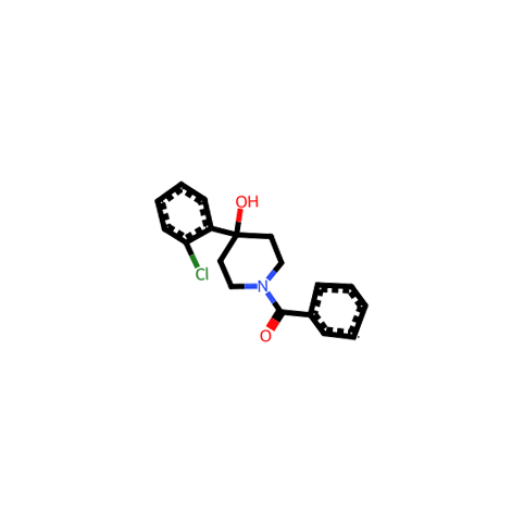 O=C(c1c[c]ccc1)N1CCC(O)(c2ccccc2Cl)CC1